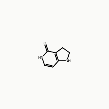 O=c1[nH]ccc2c1CCN2